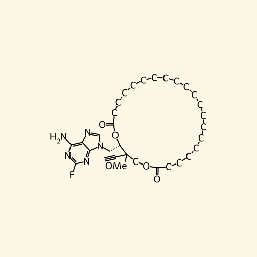 C#CC1(OC)COC(=O)CCCCCCCCCCCCCCCCCCC(=O)O[C@H]1Cn1cnc2c(N)nc(F)nc21